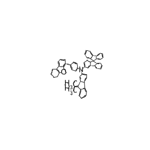 CC1(C)c2ccccc2-c2ccc(N(c3ccc(-c4cccc5c6c(oc45)CCC=C6)cc3)c3ccc4c(c3)-c3ccccc3C43c4ccccc4-c4ccccc43)cc21